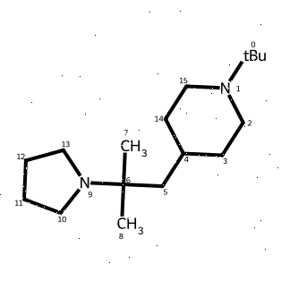 CC(C)(C)N1CCC(CC(C)(C)N2CCCC2)CC1